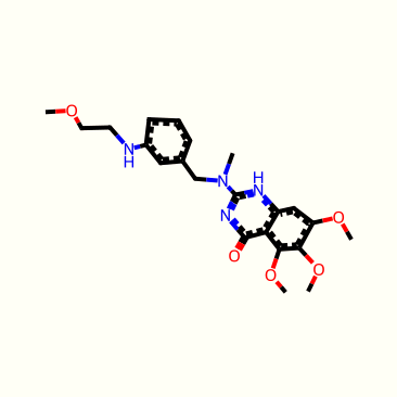 COCCNc1cccc(CN(C)c2nc(=O)c3c(OC)c(OC)c(OC)cc3[nH]2)c1